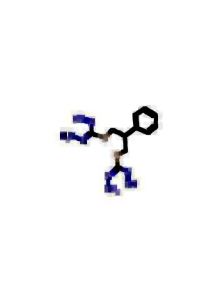 N=NC(=NN)SCC(CSC(N=N)=NN)c1ccccc1